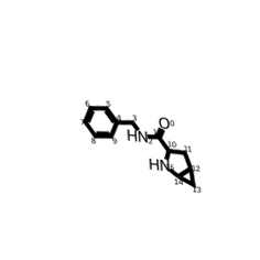 O=C(NCc1ccccc1)C1CC2CC2N1